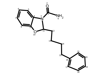 NC(=O)N1c2ccccc2OC1CCCCc1ccccc1